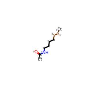 CCSSCCCCNC(=O)CC